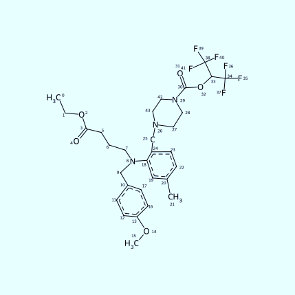 CCOC(=O)CCCN(Cc1ccc(OC)cc1)c1cc(C)ccc1CN1CCN(C(=O)OC(C(F)(F)F)C(F)(F)F)CC1